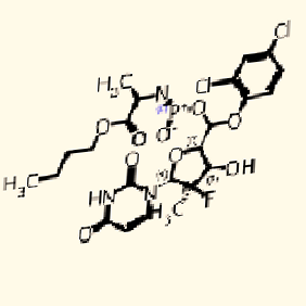 CCCCOC(=O)C(C)/N=[P+](\[O-])OC(Oc1ccc(Cl)cc1Cl)[C@@H]1O[C@@H](n2ccc(=O)[nH]c2=O)[C@](C)(F)[C@@H]1O